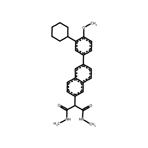 CNC(=O)C(C(=O)NC)c1ccc2cc(-c3ccc(OC)c(C4CCCCC4)c3)ccc2c1